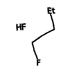 CCCCF.F